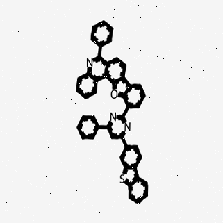 c1ccc(-c2cc(-c3ccc4c(c3)sc3ccccc34)nc(-c3cccc4c3oc3c4ccc4c(-c5ccccc5)nc5ccccc5c43)n2)cc1